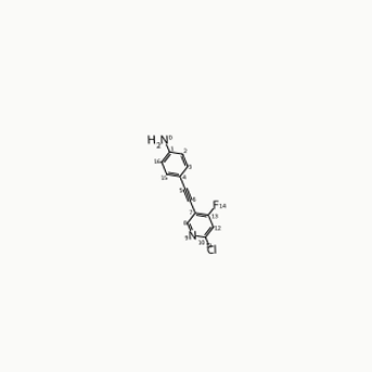 Nc1ccc(C#Cc2cnc(Cl)cc2F)cc1